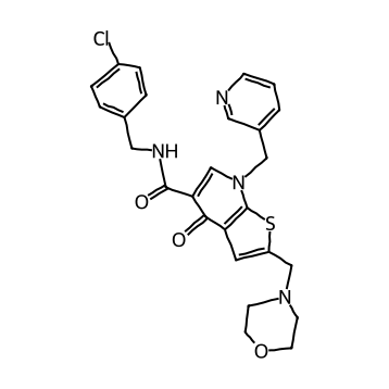 O=C(NCc1ccc(Cl)cc1)c1cn(Cc2cccnc2)c2sc(CN3CCOCC3)cc2c1=O